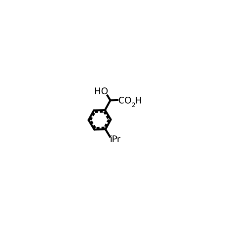 CC(C)c1cccc(C(O)C(=O)O)c1